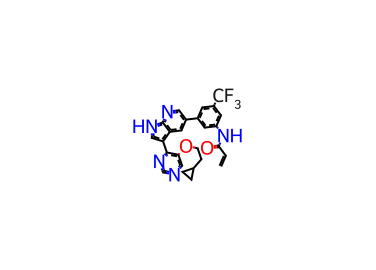 C=CC(=O)Nc1cc(-c2cnc3[nH]cc(-c4ncncc4OCCC4CC4)c3c2)cc(C(F)(F)F)c1